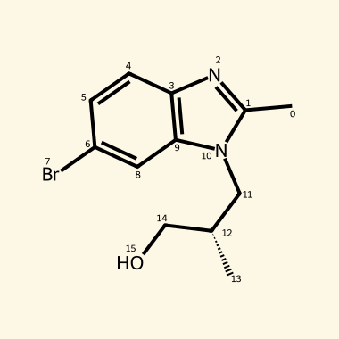 Cc1nc2ccc(Br)cc2n1C[C@H](C)CO